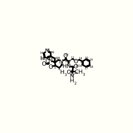 CN1C(=O)OC2CCN(C(=O)[C@@H](COCc3ccccc3)NC(=O)C(C)(C)N)CC21Cc1cccnc1